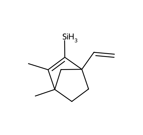 C=CC12CCC(C)(C1)C(C)=C2[SiH3]